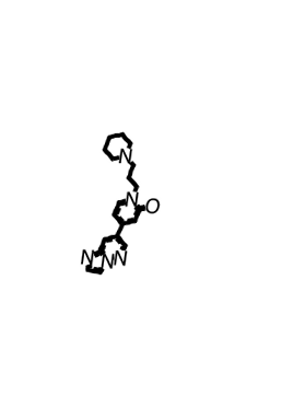 O=c1cc(-c2cnn3ccnc3c2)ccn1CCCN1CCCCC1